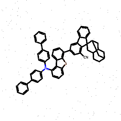 N#Cc1cc(-c2cccc3c2sc2cccc(N(c4ccc(-c5ccccc5)cc4)c4ccc(-c5ccccc5)cc4)c23)cc2c1C1(CC3CCC4CC3CC1C4)c1ccccc1-2